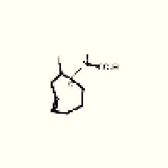 CCOC(=O)N[C@@H]1CCC/C=C/CC1I